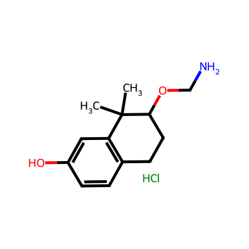 CC1(C)c2cc(O)ccc2CCC1OCN.Cl